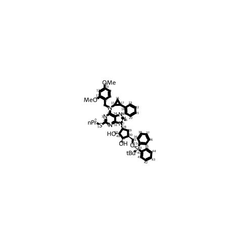 CCCSc1nc(N(Cc2ccc(OC)cc2OC)C2CC2c2ccccc2)c2nnn([C@H]3C[C@@H](CO[Si](c4ccccc4)(c4ccccc4)C(C)(C)C)[C@H](O)[C@@H]3O)c2n1